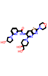 O=C(Nc1cc2sc(N3CCOCC3)nc2nc1N1CCC(O)(CO)CC1)c1cccc(N2CC[C@H](O)C2)n1